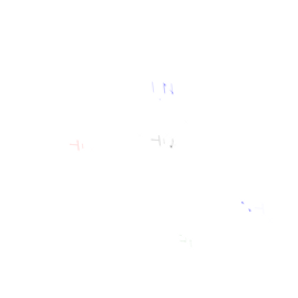 Nc1ccc(N)cc1.O=Cc1cc(Br)ccc1O